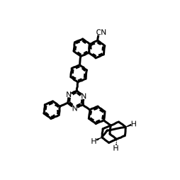 N#Cc1cccc2c(-c3ccc(-c4nc(-c5ccccc5)nc(-c5ccc(C67C[C@H]8C[C@@H](C6)C[C@@H](C7)C8)cc5)n4)cc3)cccc12